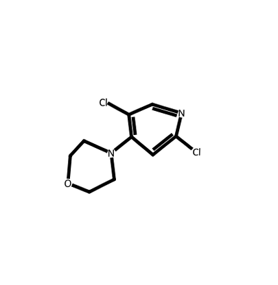 Clc1cc(N2CCOCC2)c(Cl)cn1